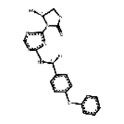 CC[C@H](Nc1ncnc(N2C(=O)OC[C@@H]2C(C)C)n1)c1ccc(Oc2ccccc2)cc1